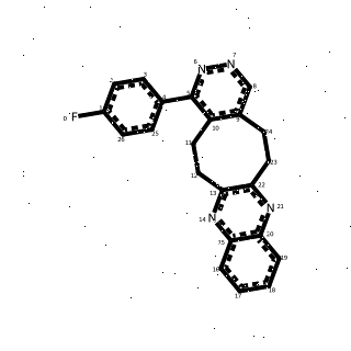 Fc1ccc(-c2nncc3c2CCc2nc4ccccc4nc2CC3)cc1